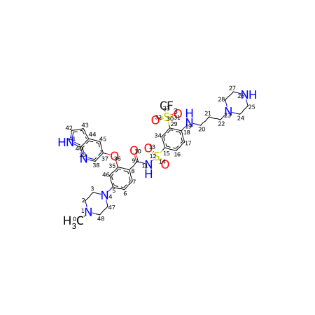 CN1CCN(c2ccc(C(=O)NS(=O)(=O)c3ccc(NCCCN4CCNCC4)c(S(=O)(=O)C(F)(F)F)c3)c(Oc3cnc4[nH]ccc4c3)c2)CC1